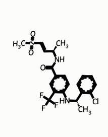 C[C@H](/C=C/S(C)(=O)=O)NC(=O)c1ccc(N[C@@H](C)c2ccccc2Cl)c(C(F)(F)F)c1